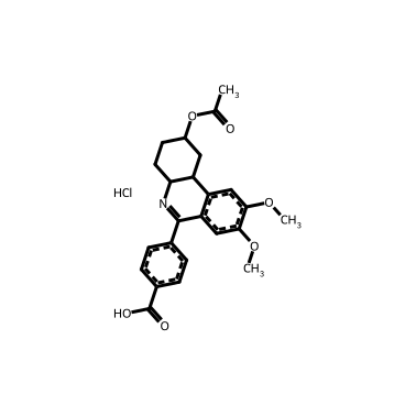 COc1cc2c(cc1OC)C1CC(OC(C)=O)CCC1N=C2c1ccc(C(=O)O)cc1.Cl